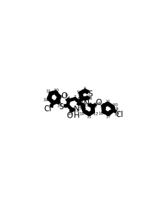 O=C1CC(c2ccsc2)(c2cccc(Oc3ccc(Cl)cc3)n2)NC(=O)C1Sc1ccccc1Cl